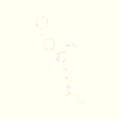 CC(C)(C)OC(=O)N1CC2(C1)CN(c1nc(-c3ccc(Oc4ccccc4)cc3)c(C(N)=O)s1)C2